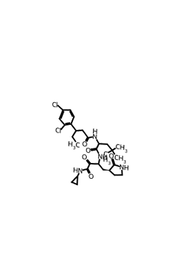 CCC(CC(=O)NC(CC(C)(C)C)C(=O)NC(C[C@@H]1CCNC1=O)C(=O)C(=O)NC1CC1)c1ccc(Cl)cc1Cl